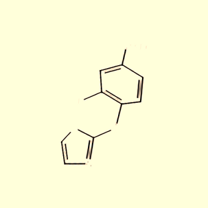 CCOC(=O)c1ccc(Oc2nccs2)c(F)c1